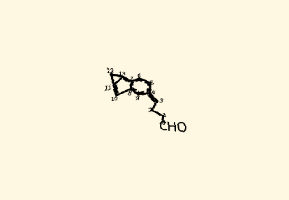 O=CCCC=c1ccc2c(c1)C=C1CC=21